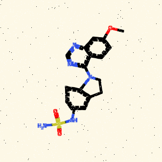 COc1ccc2c(N3CCc4cc(NS(N)(=O)=O)ccc43)ncnc2c1